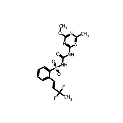 COc1nc(C)nc(NC(=O)NS(=O)(=O)c2ccccc2C=CC(C)(F)F)n1